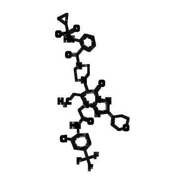 CCc1c(N2CCN(C(=O)c3ccccc3NS(=O)(=O)C3CC3)CC2)c(=O)n2nc(C3=CCOCC3)nc2n1CC(=O)Nc1ccc(C(F)(F)F)cc1Cl